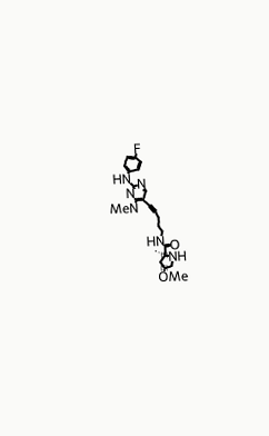 CNc1nc(Nc2ccc(F)cc2)ncc1C#CCCCNC(=O)[C@]1(C)C[C@H](OC)CN1